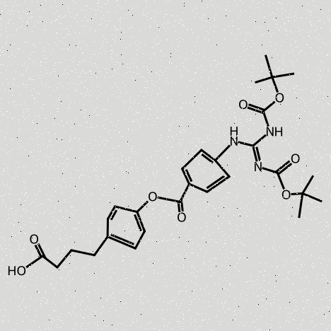 CC(C)(C)OC(=O)N=C(NC(=O)OC(C)(C)C)Nc1ccc(C(=O)Oc2ccc(CCCC(=O)O)cc2)cc1